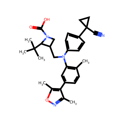 Cc1ccc(-c2c(C)noc2C)cc1N(CC1CN(C(=O)O)C1C(C)(C)C)c1ccc(C2(C#N)CC2)cc1